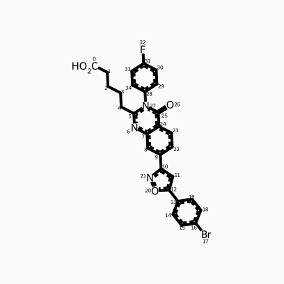 O=C(O)CCCCc1nc2cc(-c3cc(-c4ccc(Br)cc4)on3)ccc2c(=O)n1-c1ccc(F)cc1